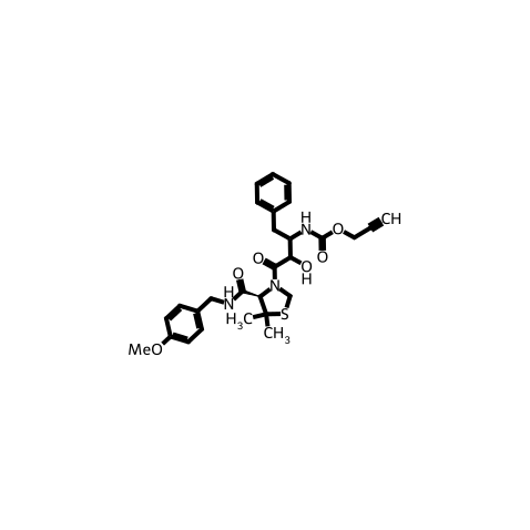 C#CCOC(=O)NC(Cc1ccccc1)C(O)C(=O)N1CSC(C)(C)[C@H]1C(=O)NCc1ccc(OC)cc1